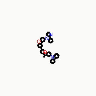 C=C(/C=C\c1oc2ccc(-n3c4ccccc4c4ccccc43)cc2c1C)c1ccc2oc3c(c2c1)C=C(n1c2ccccc2c2ncccc21)CC3